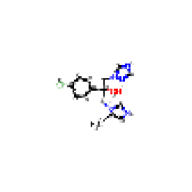 OC(Cn1cncn1)(Cn1cncc1C(F)(F)F)c1ccc(Cl)cc1